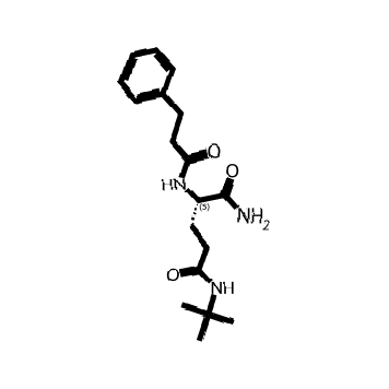 CC(C)(C)NC(=O)CC[C@H](NC(=O)CCc1ccccc1)C(N)=O